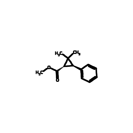 COC(=O)[C@H]1[C@H](c2ccccc2)C1(C)C